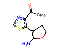 COC(=O)c1ncsc1C1CCOC1N